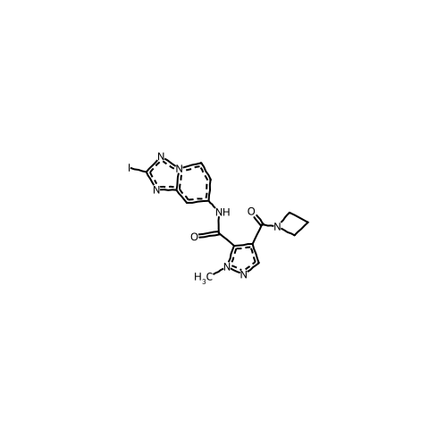 Cn1ncc(C(=O)N2CCC2)c1C(=O)Nc1ccn2nc(I)nc2c1